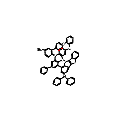 CC(C)(C)c1ccc(N2c3cc4c(cc3B3c5c(cc(-c6ccccc6)cc52)-c2cc(N(c5ccccc5)c5ccccc5)cc5c6sc7ccccc7c6n3c25)Oc2ccccc2O4)c(-c2ccccc2)c1